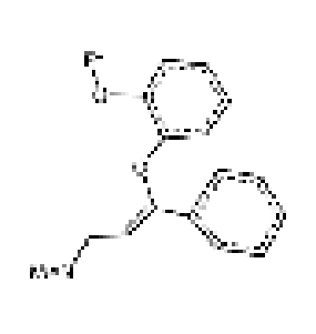 CCOc1ccccc1O/C(=C\CNC)c1ccccc1